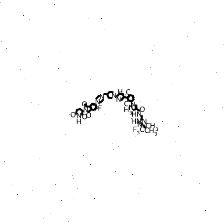 Cc1ccc(-n2cc(C(=O)NCc3nc(C(C)(C)C(F)(F)F)n[nH]3)cn2)c(C)c1-c1ccc(N2CCC(CN3CCN(c4cc5c(cc4F)C(=O)N(C4CCC(=O)NC4=O)C5=O)CC3)CC2)nc1